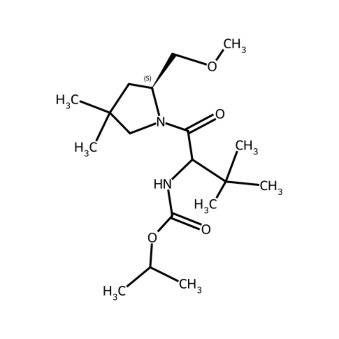 COC[C@@H]1CC(C)(C)CN1C(=O)C(NC(=O)OC(C)C)C(C)(C)C